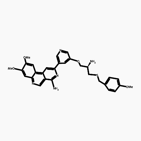 COc1ccc(CSC[C@H](N)COc2cncc(-c3cc4c(cnc5cc(OC)c(OC)cc54)c(N)n3)c2)cc1